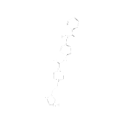 O=C(Nc1ccc(OC(=O)N2CCN(CCc3c[nH]cn3)CC2)cc1)c1ccccc1